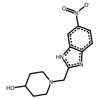 O=[N+]([O-])c1ccc2nc(CN3CCC(O)CC3)[nH]c2c1